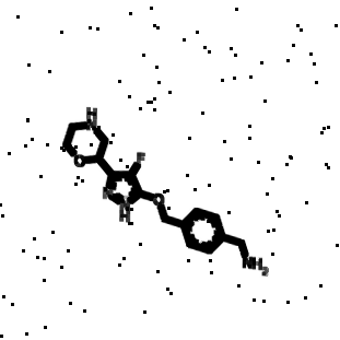 NCc1ccc(COc2[nH]nc(C3CNCCO3)c2F)cc1